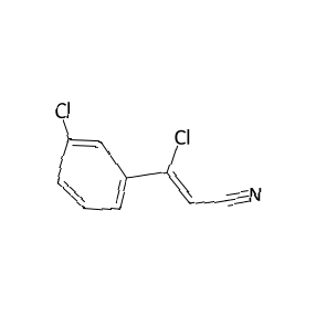 N#CC=C(Cl)c1cccc(Cl)c1